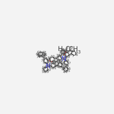 CC1(C)c2ccccc2-c2cc(N(c3ccccc3)c3cc4c(cc3-c3ccccc3)-c3ccccc3C43c4ccc(-c5ccccc5)cc4-c4ccc(N(c5ccccc5)c5ccc(C6C7CC8CC(C7)CC6C8)cc5)cc43)ccc21